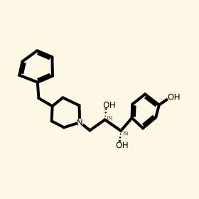 Oc1ccc([C@H](O)[C@@H](O)CN2CCC(Cc3ccccc3)CC2)cc1